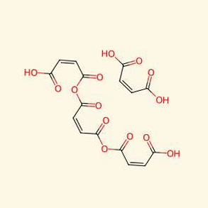 O=C(O)/C=C\C(=O)O.O=C(O)/C=C\C(=O)OC(=O)/C=C\C(=O)OC(=O)/C=C\C(=O)O